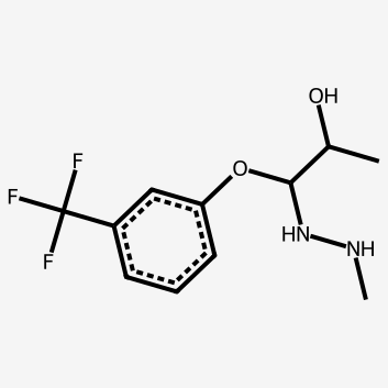 CNNC(Oc1cccc(C(F)(F)F)c1)C(C)O